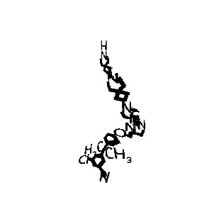 CC(C)(c1ccc(OCc2ccnc(N3CCN(C4CC5(CCN(C6CC7(CCNCC7)C6)CC5)C4)CC3)n2)cc1)c1cc(Cl)cc(C#N)c1